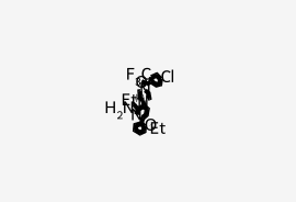 CCOc1ccccc1-c1ccc(N2CCN(C(=O)c3ccc(Cl)cc3C(F)(F)F)C[C@H]2CC)c(CN)n1